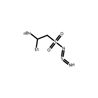 CCCCC(CC)CS(=O)(=O)N=S=N